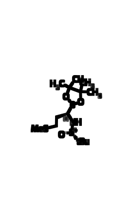 CSCC[C@H](N[S@+]([O-])C(C)(C)C)B1OC(C)(C)C(C)(C)O1